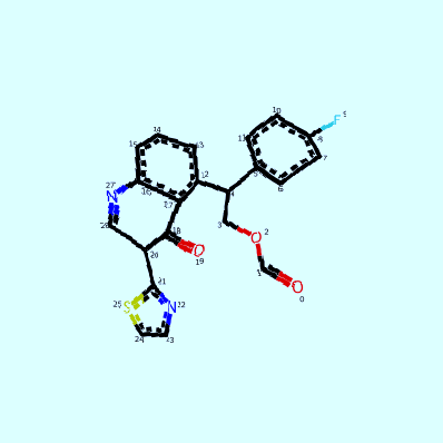 O=COCC(c1ccc(F)cc1)c1cccc2c1C(=O)C(c1nccs1)C=N2